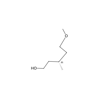 COCC[C@H](C)CCO